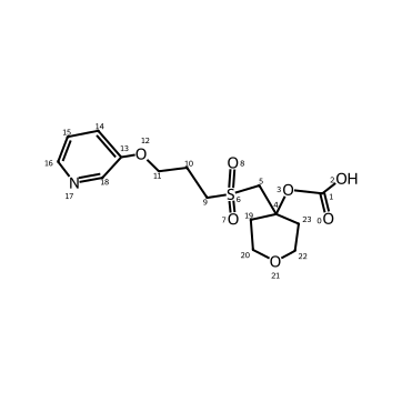 O=C(O)OC1(CS(=O)(=O)CCCOc2cccnc2)CCOCC1